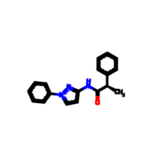 C[C@@H](C(=O)Nc1ccn(-c2ccccc2)n1)c1ccccc1